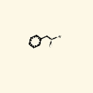 CC(C)P(Cl)Cc1ccccc1